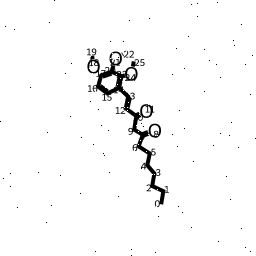 CCCCCCCC(=O)CC(=O)C=Cc1ccc(OC)c(OC)c1OC